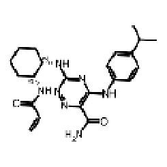 C=CC(=O)N[C@@H]1CCCC[C@@H]1Nc1nnc(C(N)=O)c(Nc2ccc(C(C)C)cc2)n1